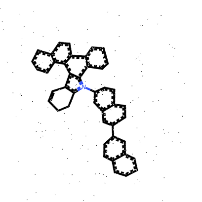 C1=Cc2c(n(-c3ccc4ccc(-c5ccc6ccccc6c5)cc4c3)c3c4ccccc4c4ccc5ccccc5c4c23)CC1